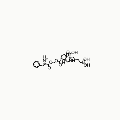 N[C@@H](Cc1ccccc1)C(=O)OCOC(=O)N1CC[C@H]2[C@@H]1CN[C@@]2(CCCCB(O)O)C(=O)O